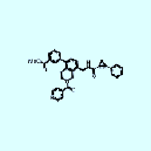 COC(=O)c1cccc(-c2ccc(CNC(=O)[C@H]3C[C@H]3c3ccccc3)c3c2CCN(C(=O)c2ccncc2)C3)c1